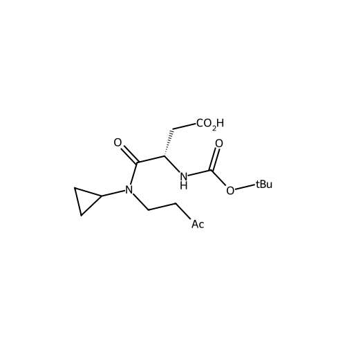 CC(=O)CCN(C(=O)[C@H](CC(=O)O)NC(=O)OC(C)(C)C)C1CC1